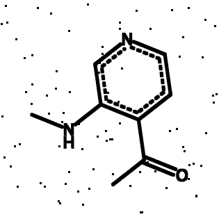 CNc1cnccc1C(C)=O